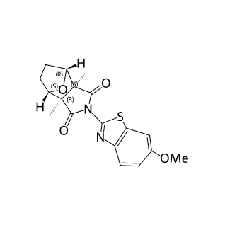 COc1ccc2nc(N3C(=O)[C@@]4(C)[C@@H]5CC[C@@H](O5)[C@@]4(C)C3=O)sc2c1